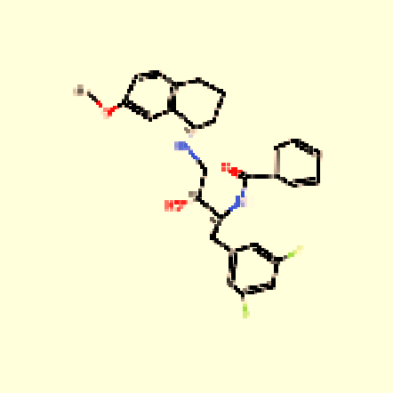 CC(C)(C)Oc1ccc2c(c1)[C@@H](NC[C@@H](O)[C@H](Cc1cc(F)cc(F)c1)NC(=O)c1ccccc1)CCC2